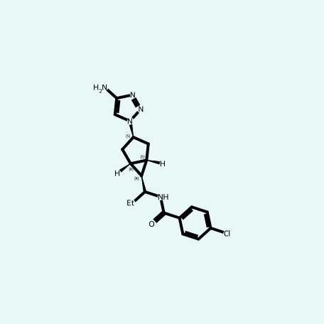 CCC(NC(=O)c1ccc(Cl)cc1)[C@H]1[C@@H]2C[C@@H](n3cc(N)nn3)C[C@@H]21